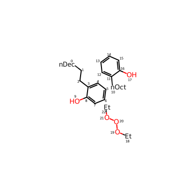 CCCCCCCCCCCCc1ccccc1O.CCCCCCCCc1ccccc1O.CCOOOCC